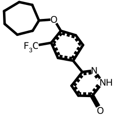 O=c1ccc(-c2ccc(OC3CCCCCC3)c(C(F)(F)F)c2)n[nH]1